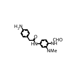 CNc1cc(NC(=O)Cc2ccc(N)cc2)ccc1NC=O